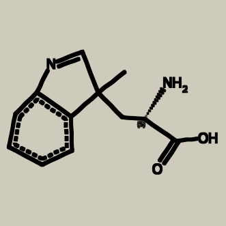 CC1(C[C@H](N)C(=O)O)C=Nc2ccccc21